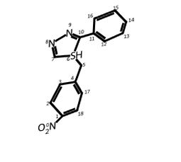 O=[N+]([O-])c1ccc(C[SH]2C=NN=C2c2ccccc2)cc1